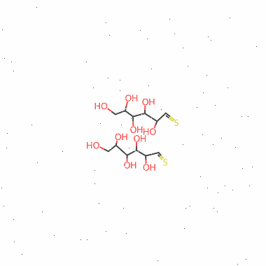 OCC(O)C(O)C(O)C(O)C=S.OCC(O)C(O)C(O)C(O)C=S